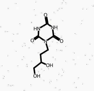 O=c1[nH]c(=O)n(CCC(O)CO)c(=O)[nH]1